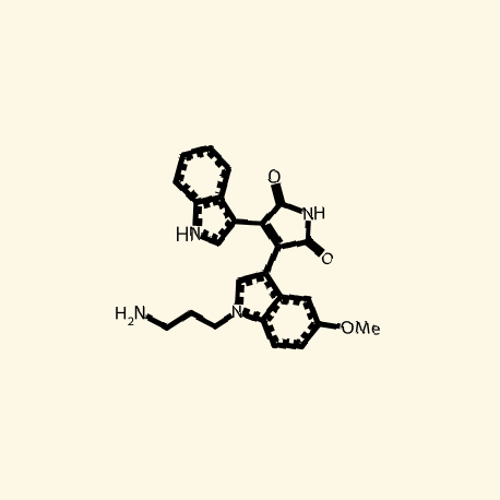 COc1ccc2c(c1)c(C1=C(c3c[nH]c4ccccc34)C(=O)NC1=O)cn2CCCN